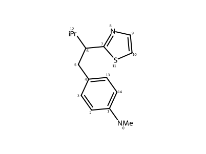 CNc1ccc(CC(c2nccs2)C(C)C)cc1